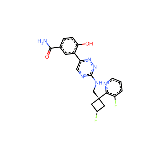 NC(=O)c1ccc(O)c(-c2cnc(NC[C@]3(c4ncccc4F)C[C@H](F)C3)nn2)c1